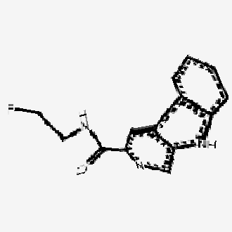 O=C(NCCF)c1cc2c(cn1)[nH]c1ccccc12